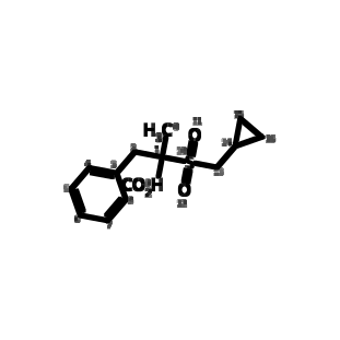 CC(Cc1ccccc1)(C(=O)O)S(=O)(=O)CC1CC1